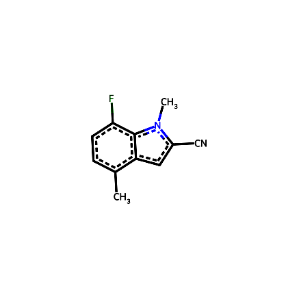 Cc1ccc(F)c2c1cc(C#N)n2C